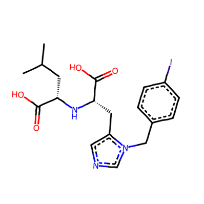 CC(C)C[C@H](N[C@@H](Cc1cncn1Cc1ccc(I)cc1)C(=O)O)C(=O)O